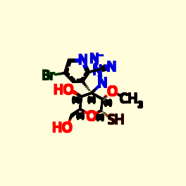 CO[C@@H]1[C@H](S)O[C@@H](CO)[C@@H](O)[C@]1(N=[N+]=[N-])c1cc(Br)cnc1C#N